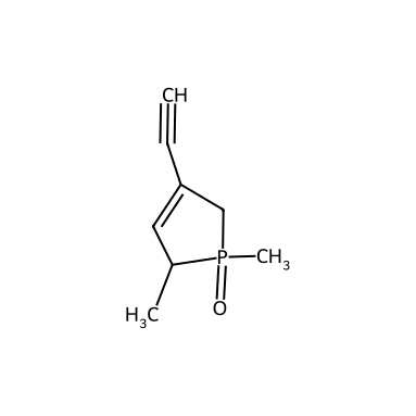 C#CC1=CC(C)P(C)(=O)C1